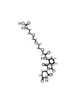 O=C(O)NCCOCCOCCOCC(=O)Nc1cccc2c1C(=O)N(C1CCC(=O)NC1=O)C2=O